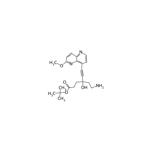 COc1ccc2nccc(C#CC(O)(CCN)CCC(=O)OC(C)(C)C)c2n1